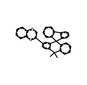 CC1(C)c2ccccc2C2(c3ccccc3-c3ccccc32)c2cc(-c3cnc4ccccc4n3)ccc21